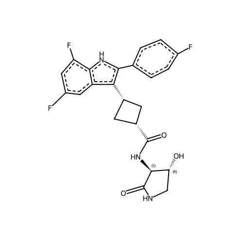 O=C1NC[C@@H](O)[C@@H]1NC(=O)[C@H]1C[C@@H](c2c(-c3ccc(F)cc3)[nH]c3c(F)cc(F)cc32)C1